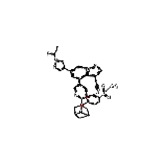 CS(=O)(=O)c1ccc(CN2C3CC2CN(c2ccc(-c4cc(-c5cnn(C(F)F)c5)cn5ncc(C#N)c45)cn2)C3)cc1